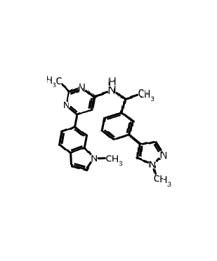 Cc1nc(NC(C)c2cccc(-c3cnn(C)c3)c2)cc(-c2ccc3ccn(C)c3c2)n1